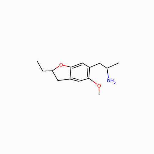 CCC1Cc2cc(OC)c(CC(C)N)cc2O1